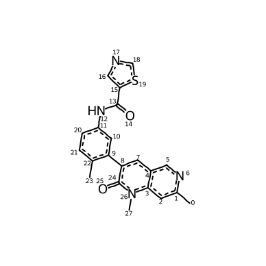 Cc1cc2c(cn1)cc(-c1cc(NC(=O)c3cncs3)ccc1C)c(=O)n2C